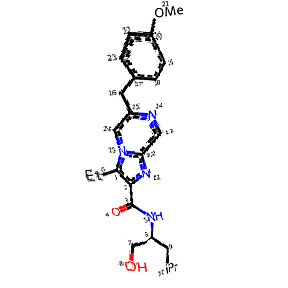 CCc1c(C(=O)N[C@H](CO)CC(C)C)nc2cnc(Cc3ccc(OC)cc3)cn12